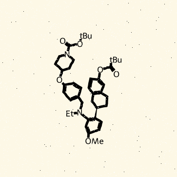 CCN(Cc1ccc(OC2CCN(C(=O)OC(C)(C)C)CC2)cc1)c1cc(OC)ccc1[C@@H]1CCc2cc(OC(=O)C(C)(C)C)ccc2C1